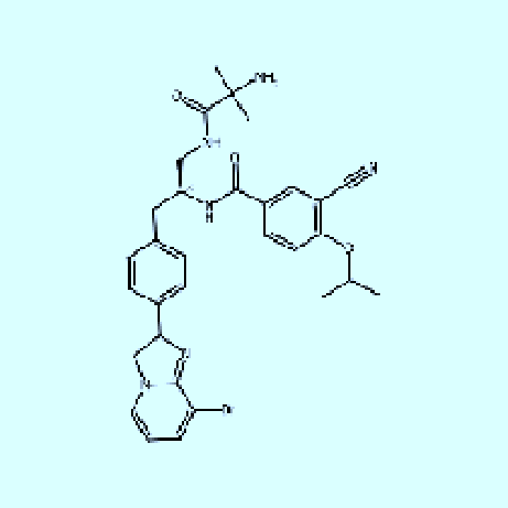 CC(C)Oc1ccc(C(=O)N[C@H](CNC(=O)C(C)(C)N)Cc2ccc(C3CN4C=CC=C(Br)C4=N3)cc2)cc1C#N